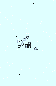 Cc1ccc(-c2ccc(Nc3ccccc3C3=CC(C4=CC(Nc5ccc(-c6ccc(C)cc6)cc5)CC(c5ccccc5)=C4)=CC(C)C3)cc2)cc1